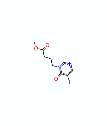 COC(=O)CCCn1cncc(I)c1=O